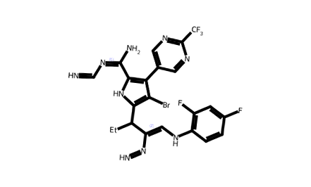 CCC(/C(=C/Nc1ccc(F)cc1F)N=N)c1[nH]c(/C(N)=N\C=N)c(-c2cnc(C(F)(F)F)nc2)c1Br